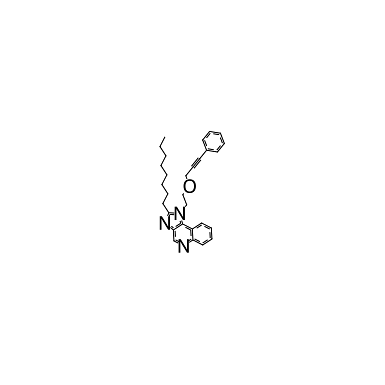 CCCCCCCCc1nc2cnc3ccccc3c2n1CCOCC#Cc1ccccc1